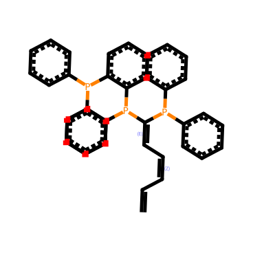 C=C/C=C\C=C(/P(c1ccccc1)c1ccccc1)P(c1ccccc1)c1ccccc1P(c1ccccc1)c1ccccc1